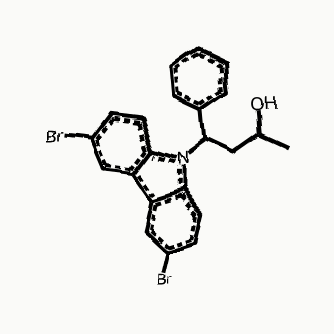 CC(O)CC(c1ccccc1)n1c2ccc(Br)cc2c2cc(Br)ccc21